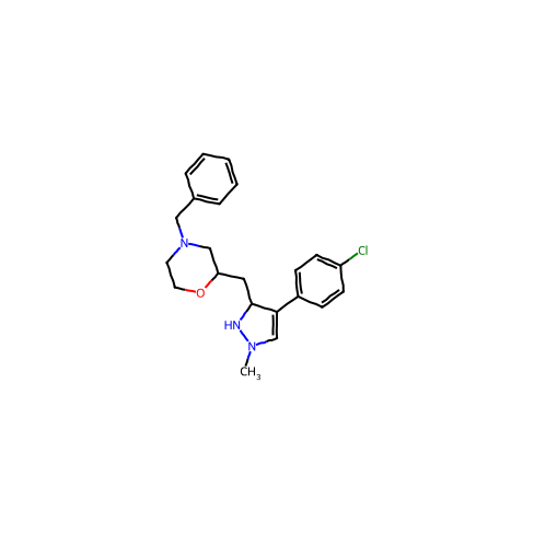 CN1C=C(c2ccc(Cl)cc2)C(CC2CN(Cc3ccccc3)CCO2)N1